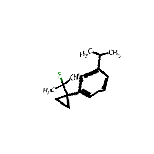 CC(C)c1cccc(C2(C(C)(C)F)CC2)c1